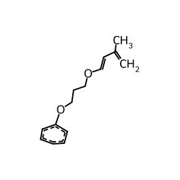 C=C(C)C=COCCCOc1ccccc1